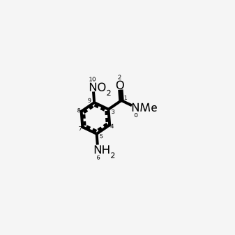 CNC(=O)c1cc(N)ccc1[N+](=O)[O-]